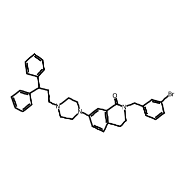 O=C1c2cc(N3CCN(CCC(c4ccccc4)c4ccccc4)CC3)ccc2CCN1Cc1cccc(Br)c1